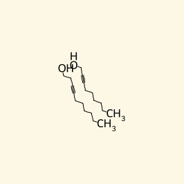 CCCCCCC#CCCO.CCCCCCC#CCO